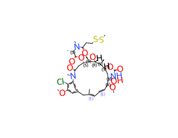 COc1cc2cc(c1Cl)N(C)C(=O)C[C@H](OC(=O)[C@H](C)N(C)C(=O)CCSSC)[C@]1(C)O[C@@H]1[C@@H](C)[C@@H]1C[C@@](O)(NC(=O)O1)[C@H](OC)/C=C/C=C(\C)C2